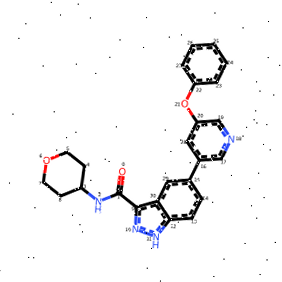 O=C(NC1CCOCC1)c1n[nH]c2ccc(-c3cncc(Oc4ccccc4)c3)cc12